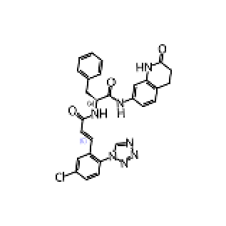 O=C(/C=C/c1cc(Cl)ccc1-n1cnnn1)N[C@@H](Cc1ccccc1)C(=O)Nc1ccc2c(c1)NC(=O)CC2